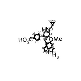 COc1cc(C)c2[nH]ccc2c1CN1CC[C@@H](NCC2CC2)C[C@@H]1c1ccc(C(=O)O)cc1